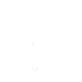 C=C(O/N=C\C(=C\C)C(=C)OC)/C(C=N)=C\C